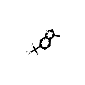 Cc1[c]sc2cc(C(F)(F)C(F)(F)F)ccc12